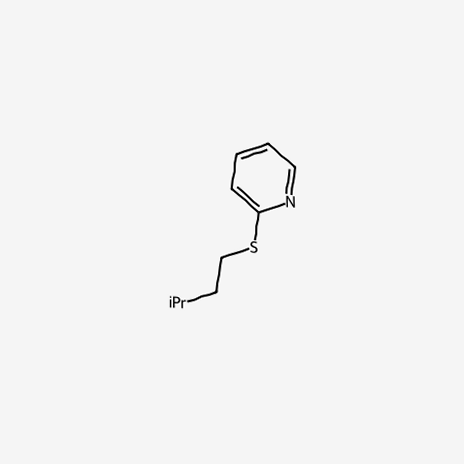 CC(C)CCSc1ccccn1